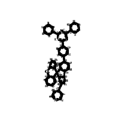 c1ccc(-c2nc(-c3ccccc3)nc(-c3ccc(-c4ccc5c(c4)C4(c6ccccc6Oc6ccccc64)c4cc(-c6ccncc6)ccc4-5)cc3)n2)cc1